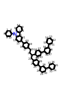 C1=Cc2c(n(-c3ccccc3)c3ccc(-c4ccc(CCC(Cc5ccc(-c6cccc(-c7ccccc7)c6)cc5)c5ccc(-c6cccc(-c7ccccc7)c6)cc5)cc4)cc23)CC1